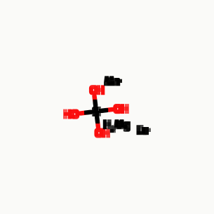 O[Si](O)(O)O.[Eu].[MgH2].[Mn]